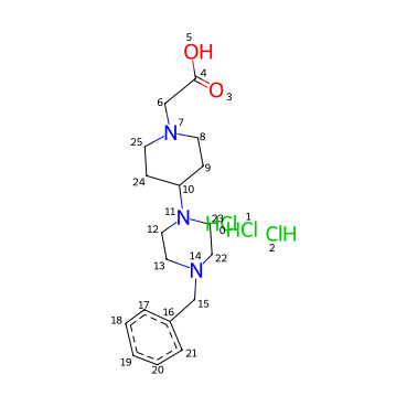 Cl.Cl.Cl.O=C(O)CN1CCC(N2CCN(Cc3ccccc3)CC2)CC1